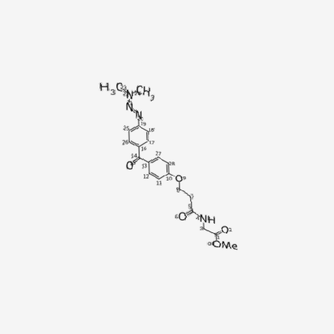 COC(=O)CNC(=O)CCOc1ccc(C(=O)c2ccc(/N=N/N(C)C)cc2)cc1